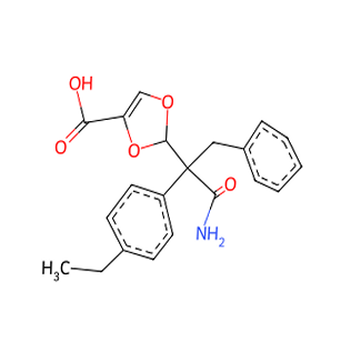 CCc1ccc(C(Cc2ccccc2)(C(N)=O)C2OC=C(C(=O)O)O2)cc1